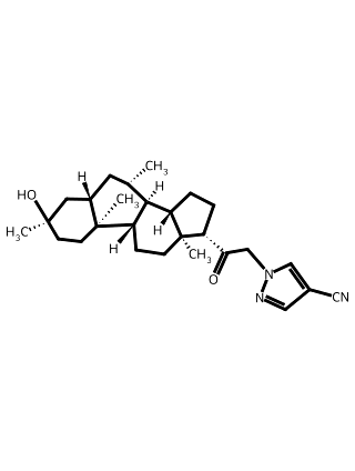 C[C@H]1C[C@H]2C[C@](C)(O)CC[C@]2(C)[C@H]2CC[C@]3(C)[C@@H](C(=O)Cn4cc(C#N)cn4)CC[C@H]3[C@H]12